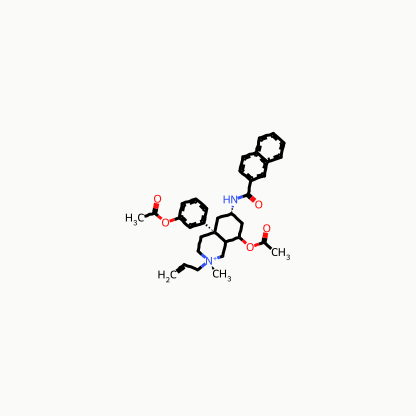 C=CC[N@@+]1(C)CC[C@@]2(c3cccc(OC(C)=O)c3)C[C@H](NC(=O)c3ccc4ccccc4c3)CC(OC(C)=O)C2C1